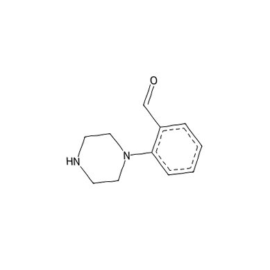 O=Cc1ccccc1N1CCNCC1